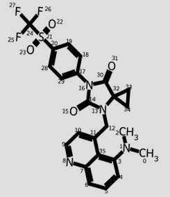 CN(C)c1cccc2nccc(CN3C(=O)N(c4ccc(S(=O)(=O)C(F)(F)F)cc4)C(=O)C34CC4)c12